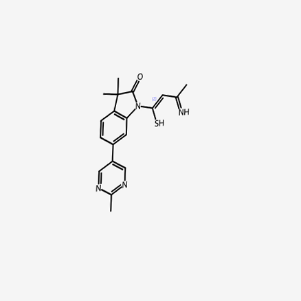 CC(=N)/C=C(\S)N1C(=O)C(C)(C)c2ccc(-c3cnc(C)nc3)cc21